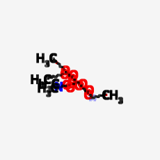 CCCCCC/C=C\COC(=O)CCCC(=O)OCC(COC(=O)CCC(OCCCCCCCC)OCCCCCCCC)COC(=O)OCCCN(CC)CC